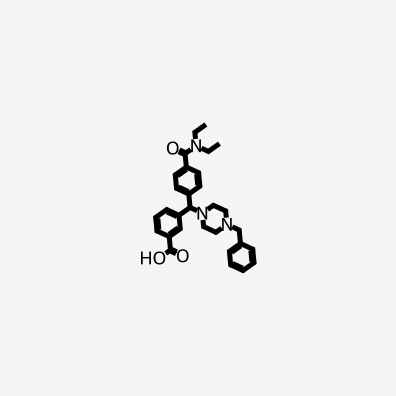 CCN(CC)C(=O)c1ccc(C(c2cccc(C(=O)O)c2)N2CCN(Cc3ccccc3)CC2)cc1